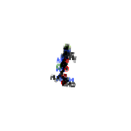 CN(CCCCNC(=O)c1ccc(NC(=O)c2ncc(-c3cn(C4CC4(F)F)nc3C(F)(F)F)n2C)cc1Cl)C(=O)N[C@H]1CNC[C@@H]1OC=O